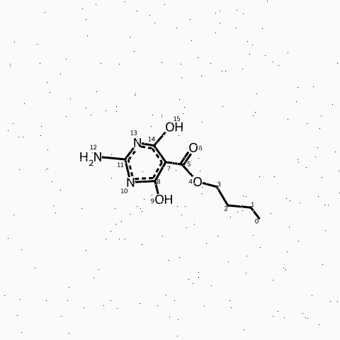 CCCCOC(=O)c1c(O)nc(N)nc1O